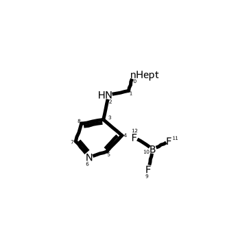 CCCCCCCCNc1ccncc1.FB(F)F